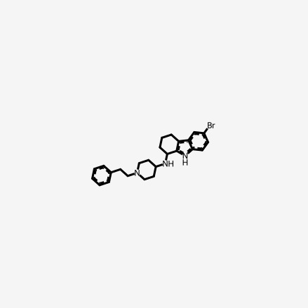 Brc1ccc2[nH]c3c(c2c1)CCCC3NC1CCN(CCc2ccccc2)CC1